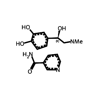 CNC[C@H](O)c1ccc(O)c(O)c1.NC(=O)c1cccnc1